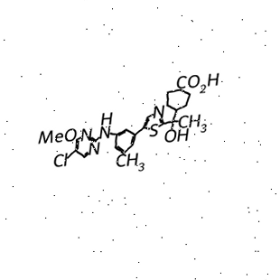 COc1nc(Nc2cc(C)cc(-c3cnc(C(C)(O)C4CCC(C(=O)O)CC4)s3)c2)ncc1Cl